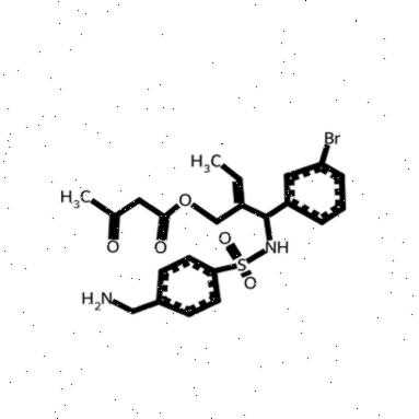 CC=C(COC(=O)CC(C)=O)C(NS(=O)(=O)c1ccc(CN)cc1)c1cccc(Br)c1